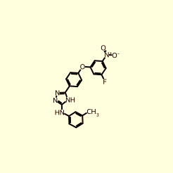 Cc1cccc(Nc2nnc(-c3ccc(Oc4cc(F)cc([N+](=O)[O-])c4)cc3)[nH]2)c1